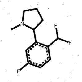 CN1CCCC1c1cc(F)ccc1C(F)F